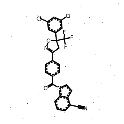 N#Cc1cccc2c1ccn2C(=O)c1ccc(C2=NOC(c3cc(Cl)cc(Cl)c3)(C(F)(F)F)C2)cc1